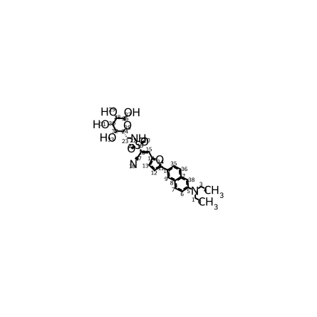 CCN(CC)c1ccc2cc(-c3ccc(/C=C(\C#N)S(=O)(=O)NC[C@H]4OC(O)[C@H](O)[C@@H](O)[C@@H]4O)o3)ccc2c1